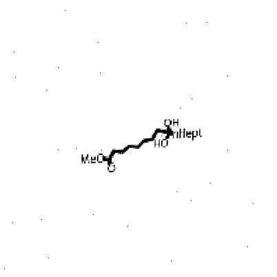 CCCCCCCC(O)(O)CCCCCCCC(=O)OC